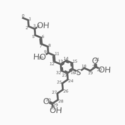 CCCC(O)CC=CCC(O)C=Cc1ccc(SCCC(=O)O)c(CCCCCC(=O)O)c1